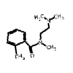 Cc1ccccc1C(=O)N(C)CCN(C)C